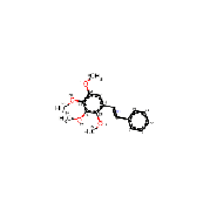 COc1cc(/C=C/c2ccccc2)c(OC)c(OC)c1OC